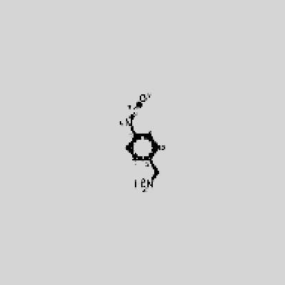 NCc1[c]cc(N=C=O)cc1